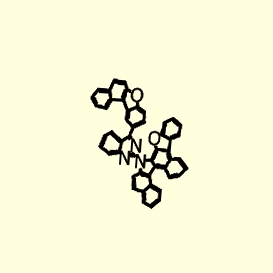 c1ccc2c(c1)ccc1oc3ccc(-c4nc(-n5c6ccc7ccccc7c6c6c7ccccc7c7c8ccccc8oc7c65)nc5ccccc45)cc3c12